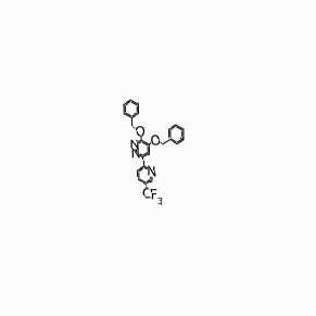 FC(F)(F)c1ccc(-c2cc(OCc3ccccc3)c(OCc3ccccc3)nn2)nc1